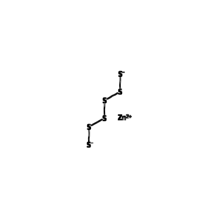 [S-]SSSS[S-].[Zn+2]